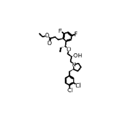 CCOC(=O)CCc1c(F)cc(F)cc1[C@@H](CC)OC[C@H](O)CN1CCC[C@H]1Cc1ccc(Cl)c(Cl)c1